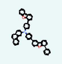 c1ccc(-c2cccc3c2oc2ccc(-c4ccc(N(c5ccc(-c6cccc7c6oc6ccccc67)cc5)c5ccc6ccc7ccccc7c6c5)cc4)cc23)cc1